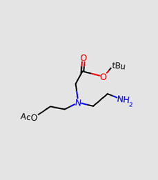 CC(=O)OCCN(CCN)CC(=O)OC(C)(C)C